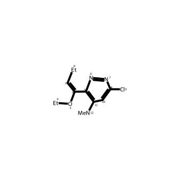 CC/C=C(/OCC)c1nnc(Cl)cc1NC